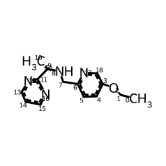 CCOc1ccc(CN[C@H](C)c2ncccn2)nc1